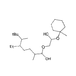 CCC(CCC(C)C(O)OCC(O)OC1(C)CCCCC1)C(C)C(C)(C)C